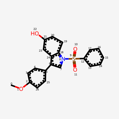 COc1ccc(-c2cn(S(=O)(=O)c3ccccc3)c3ccc(O)cc23)cc1